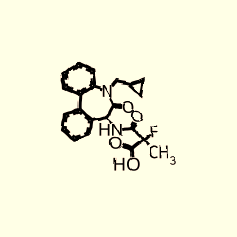 C[C@@](F)(C(=O)O)C(=O)N[C@@H]1C(=O)N(CC2CC2)c2ccccc2-c2ccccc21